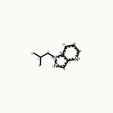 CC(C)Cn1ncc2ncccc21